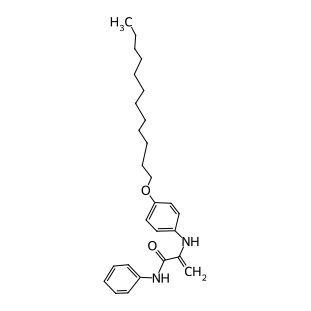 C=C(Nc1ccc(OCCCCCCCCCCCC)cc1)C(=O)Nc1ccccc1